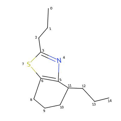 CCCc1nc2c(s1)CCCC2CCC